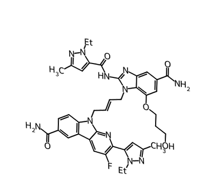 CCn1nc(C)cc1C(=O)Nc1nc2cc(C(N)=O)cc(OCCCO)c2n1C/C=C/Cn1c2ccc(C(N)=O)cc2c2cc(F)c(-c3cc(C)nn3CC)nc21